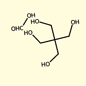 O=CO.OCC(CO)(CO)CO